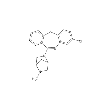 CN1CC2CC1CN2C1=Nc2cc(Cl)ccc2Sc2ccccc21